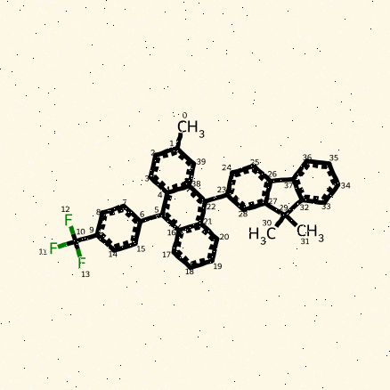 Cc1ccc2c(-c3ccc(C(F)(F)F)cc3)c3ccccc3c(-c3ccc4c(c3)C(C)(C)c3ccccc3-4)c2c1